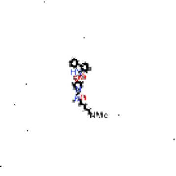 CNCCCCCC(=O)N(C)CCN1CCC(OC(=O)Nc2ccccc2-c2ccccc2)CC1